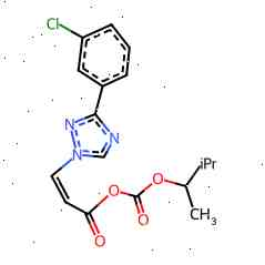 CC(C)C(C)OC(=O)OC(=O)/C=C\n1cnc(-c2cccc(Cl)c2)n1